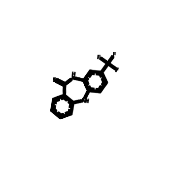 FC(F)(F)c1ccc2c(c1)NC(=S)c1ccccc1N2